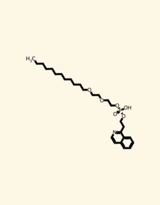 CCCCCCCCCCCCOCCOCCOP(=O)(O)OCCc1nccc2ccccc12